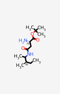 CC[C@@H](C)C(C)NC(=O)C[C@H](N)C(=O)OC(C)(C)C